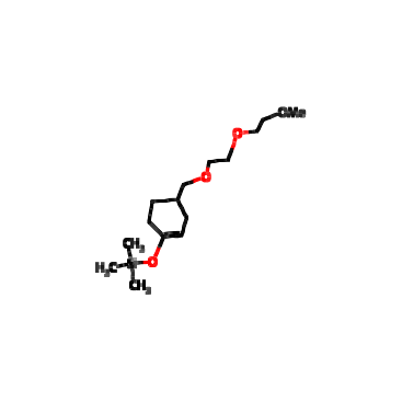 COCCOCCOCC1CC=C(O[Si](C)(C)C)CC1